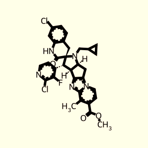 COC(=O)c1ccn2c3c(nc2c1C)[C@@H]1[C@H](C3)N(CC2CC2)[C@]2(Cc3ccc(Cl)cc3NC2=O)[C@H]1c1ccnc(Cl)c1F